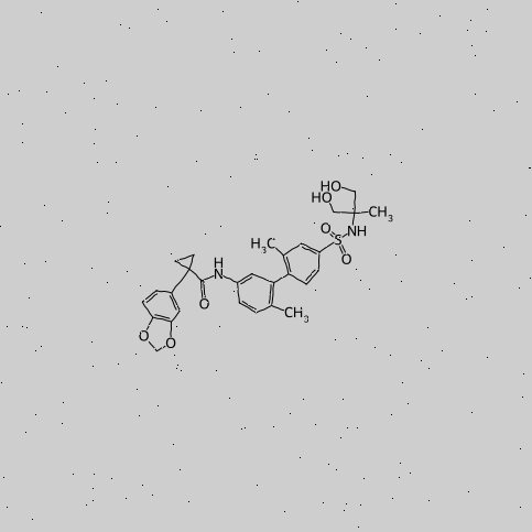 Cc1cc(S(=O)(=O)NC(C)(CO)CO)ccc1-c1cc(NC(=O)C2(c3ccc4c(c3)OCO4)CC2)ccc1C